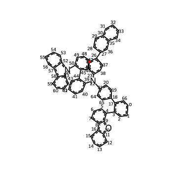 c1ccc(-c2cccc3c2oc2ccccc23)c(-c2ccc(N(c3ccc(-c4ccc5ccccc5c4)cc3)c3ccccc3-c3ccccc3-n3c4ccccc4c4ccccc43)cc2)c1